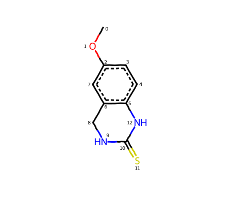 COc1ccc2c(c1)CNC(=S)N2